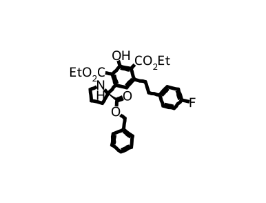 CCOC(=O)c1c(CCc2ccc(F)cc2)cc([C@]2(C(=O)OCc3ccccc3)CCCN2)c(C(=O)OCC)c1O